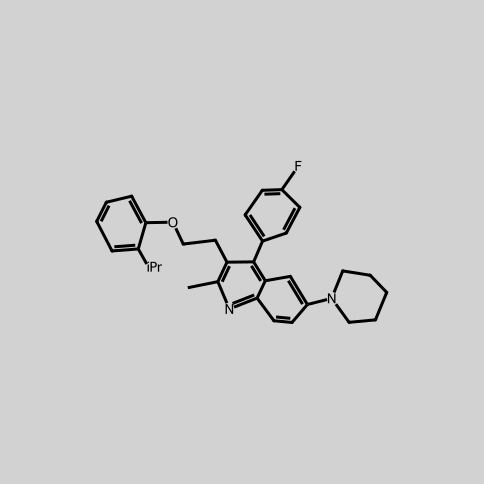 Cc1nc2ccc(N3CCCCC3)cc2c(-c2ccc(F)cc2)c1CCOc1ccccc1C(C)C